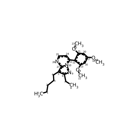 CCCCCc1c(CC)nn2c(-c3c(OC)cc(OC)cc3OC)ccnc12